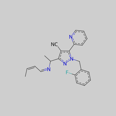 C/C=C\C=N/C(C)c1nn(Cc2ccccc2F)c(-c2ccccn2)c1C#N